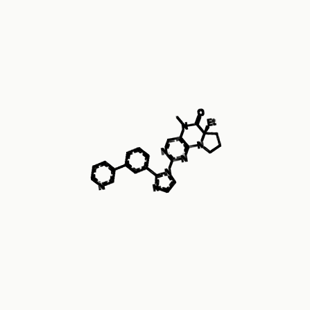 CC[C@@]12CCCN1c1nc(-n3ccnc3-c3cccc(-c4cccnc4)c3)ncc1N(C)C2=O